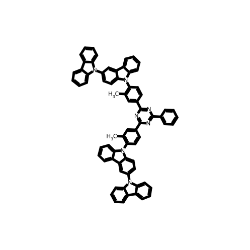 Cc1cc(-c2nc(-c3ccccc3)nc(-c3ccc(-n4c5ccccc5c5cc(-n6c7ccccc7c7ccccc76)ccc54)c(C)c3)n2)ccc1-n1c2ccccc2c2cc(-n3c4ccccc4c4ccccc43)ccc21